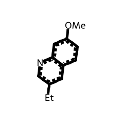 CCc1cnc2cc(OC)ccc2c1